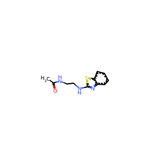 CC(=O)NCCNc1nc2ccccc2s1